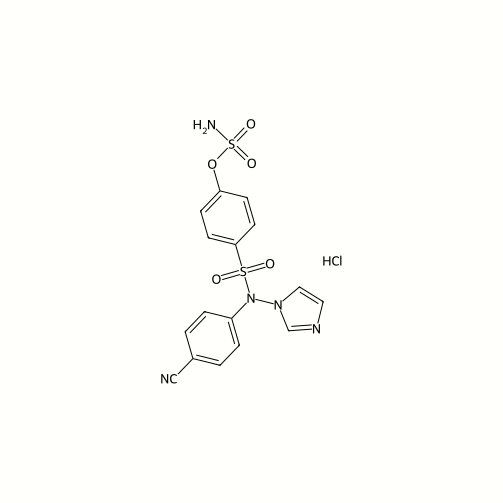 Cl.N#Cc1ccc(N(n2ccnc2)S(=O)(=O)c2ccc(OS(N)(=O)=O)cc2)cc1